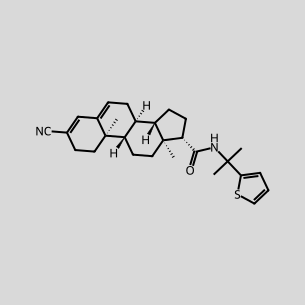 CC(C)(NC(=O)[C@H]1CC[C@H]2[C@@H]3CC=C4C=C(C#N)CC[C@]4(C)[C@H]3CC[C@]12C)c1cccs1